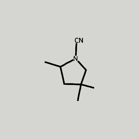 CC1CC(C)(C)CN1C#N